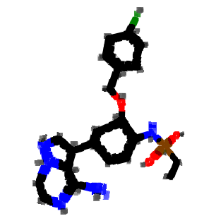 CCS(=O)(=O)Nc1ccc(-c2cnn3ccnc(N)c23)cc1OCc1ccc(F)cc1